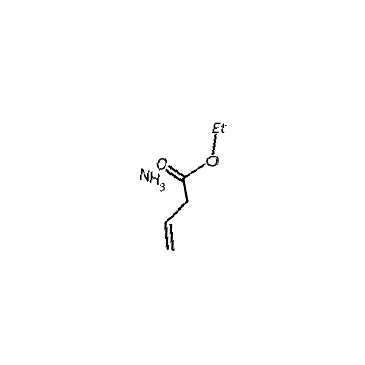 C=CCC(=O)OCC.N